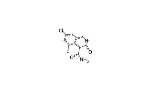 NC(=O)C1=c2c(F)[c]c(Cl)cc2=C[N]C1=O